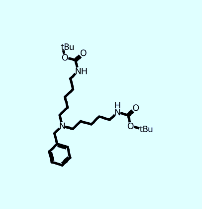 CC(C)(C)OC(=O)NCCCCCN(CCCCCNC(=O)OC(C)(C)C)Cc1ccccc1